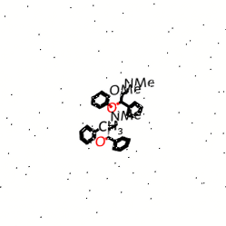 CNCCC(Oc1ccccc1OC)c1ccccc1.CNCC[C@@H](Oc1ccccc1C)c1ccccc1